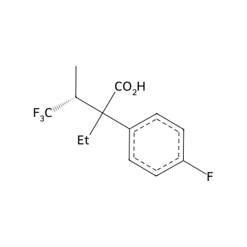 CCC(C(=O)O)(c1ccc(F)cc1)[C@@H](C)C(F)(F)F